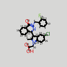 Cc1c(-c2nn(Cc3ccccc3F)c(=O)c3ccccc23)c2cc(Cl)ccc2n1CC(=O)O